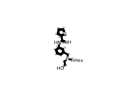 CCCCCCN(CCO)Cc1cccc(NC(=N)c2cccs2)c1